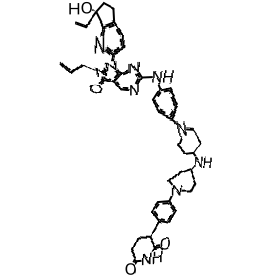 C=CCn1c(=O)c2cnc(Nc3ccc(N4CCC(NC5CCN(c6ccc(C7CCC(=O)NC7=O)cc6)CC5)CC4)cc3)nc2n1-c1ccc2c(n1)[C@@](O)(CC)CC2